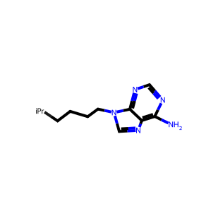 CC(C)CCCCn1cnc2c(N)ncnc21